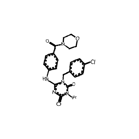 CC(C)n1c(=O)nc(Nc2ccc(C(=O)N3CCOCC3)cc2)n(Cc2ccc(Cl)cc2)c1=O